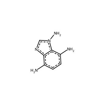 Nc1ccc(N)c2c1ncn2N